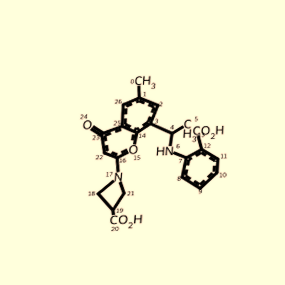 Cc1cc(C(C)Nc2ccccc2C(=O)O)c2oc(N3CC(C(=O)O)C3)cc(=O)c2c1